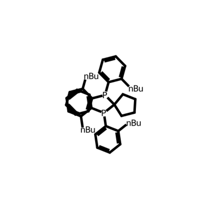 CCCCc1ccccc1P(c1ccccc1CCCC)C1(P(c2ccccc2CCCC)c2ccccc2CCCC)CCCC1